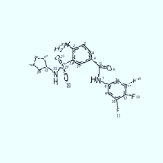 Nc1ccc(C(=O)Nc2cc(F)c(F)c(F)c2)cc1S(=O)(=O)NC1CCCC1